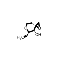 C=C[C@H]1OCC[C@@]2(CO2)[C@@H]1O